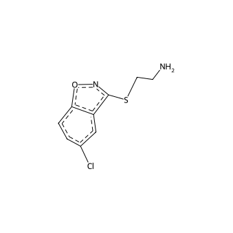 NCCSc1noc2ccc(Cl)cc12